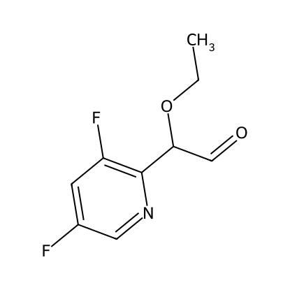 CCOC(C=O)c1ncc(F)cc1F